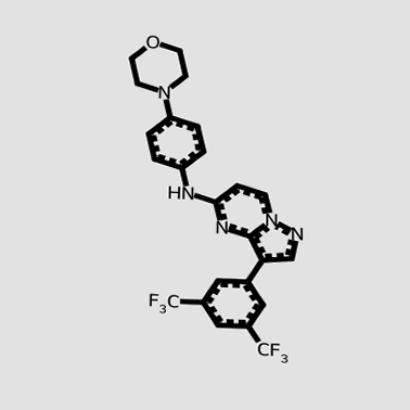 FC(F)(F)c1cc(-c2cnn3ccc(Nc4ccc(N5CCOCC5)cc4)nc23)cc(C(F)(F)F)c1